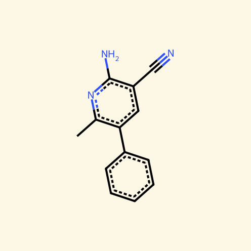 Cc1nc(N)c(C#N)cc1-c1ccccc1